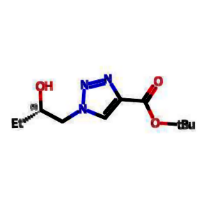 CC[C@H](O)Cn1cc(C(=O)OC(C)(C)C)nn1